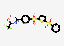 C[C@H](NC(=O)C(F)(F)F)c1ccc(S(=O)(=O)c2ccc(S(=O)(=O)c3ccccc3)s2)cc1